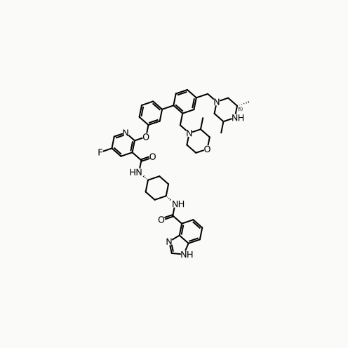 CC1CN(Cc2ccc(-c3cccc(Oc4ncc(F)cc4C(=O)N[C@H]4CC[C@@H](NC(=O)c5cccc6[nH]cnc56)CC4)c3)c(CN3CCOCC3C)c2)C[C@H](C)N1